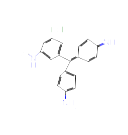 CNc1cccc(C(=C2C=CC(=N)C=C2)c2ccc(N)cc2)c1.Cl